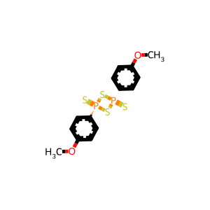 COc1ccc([P@]2(=S)S[P@@](=S)(c3ccc(OC)cc3)S2)cc1